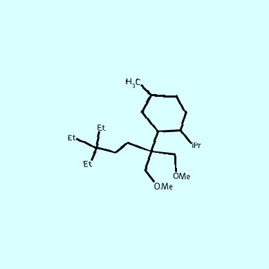 CCC(CC)(CC)CCC(COC)(COC)C1CC(C)CCC1C(C)C